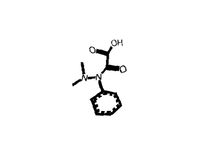 CN(C)N(C(=O)C(=O)O)c1ccccc1